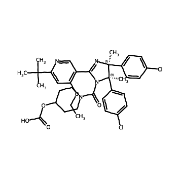 CCOc1cc(C(C)(C)C)ncc1C1=N[C@@](C)(c2ccc(Cl)cc2)[C@@](C)(c2ccc(Cl)cc2)N1C(=O)N1CCC(OC(=O)O)CC1